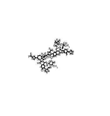 C=C1C=CC(c2cnn(C(F)F)c2)=CN2C(=N)N(C(COC(=O)N[C@@H](C)C(F)F)c3ccc(Cl)c(-n4ncnc4C(F)F)c3)C(=O)[C@@]12C#CC(C)(C)c1nc(C(F)F)n(-c2cc([C@@H](COC(=O)NC3(C(F)(F)F)CC3)N3C(=N)N[C@](C#CC(C)(C)C)(c4ccc(-n5cnnn5)c(F)c4)C3=O)ccc2Cl)n1